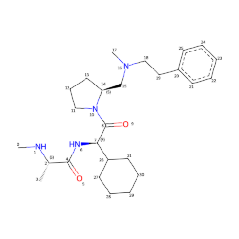 CN[C@@H](C)C(=O)N[C@@H](C(=O)N1CCC[C@H]1CN(C)CCc1ccccc1)C1CCCCC1